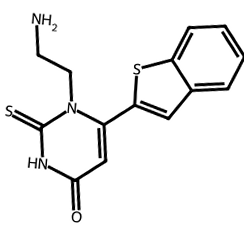 NCCn1c(-c2cc3ccccc3s2)cc(=O)[nH]c1=S